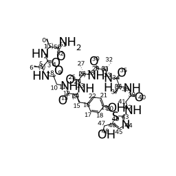 C[C@H](NC(=O)[C@H](C)NC(=O)CNC(=O)[C@H](Cc1ccc(O)cc1)NC(=O)[C@H](C)NC(=O)[C@H](C)NC(=O)[C@H](C)NC(=O)CNc1ncc(CO)s1)C(N)=O